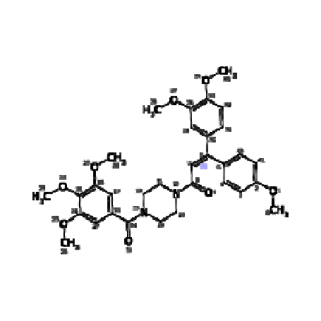 COc1ccc(/C(=C\C(=O)N2CCN(C(=O)c3cc(OC)c(OC)c(OC)c3)CC2)c2ccc(OC)c(OC)c2)cc1